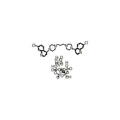 Clc1ccc2c(N3CCN(CCCN4CCN(c5ccnc6cc(Cl)ccc56)CC4)CC3)ccnc2c1.O.O.O.O.O=P(O)(O)OP(=O)(O)OP(=O)(O)OP(=O)(O)O